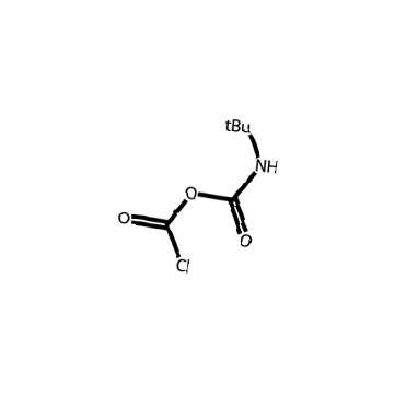 CC(C)(C)NC(=O)OC(=O)Cl